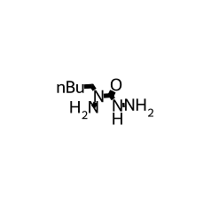 CCCCCN(N)C(=O)NN